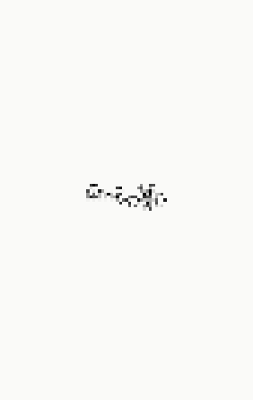 CC1CCCCN1S(=O)(=O)c1ccc(NC(=O)NCc2cccnc2)cc1